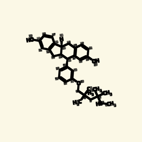 CBC(C)(C)CC(C)(C)COc1cccc([C@@H]2c3cc(O)ccc3C[C@H]3c4ccc(O)cc4CC23)c1